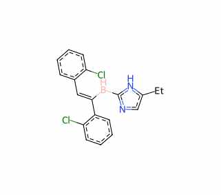 CCc1cnc(BC(=Cc2ccccc2Cl)c2ccccc2Cl)[nH]1